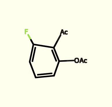 CC(=O)Oc1cccc(F)c1C(C)=O